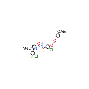 COc1ccc(COCCOc2ccc(C(=O)NCC(=O)c3ccc(OC)c(-c4ccc(F)c(Cl)c4)n3)cc2Cl)cc1